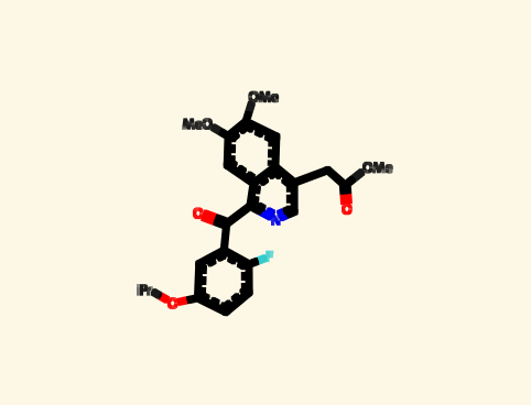 COC(=O)Cc1cnc(C(=O)c2cc(OC(C)C)ccc2F)c2cc(OC)c(OC)cc12